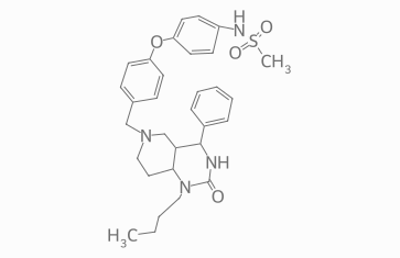 CCCCN1C(=O)NC(c2ccccc2)C2CN(Cc3ccc(Oc4ccc(NS(C)(=O)=O)cc4)cc3)CCC21